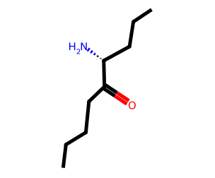 CCCCC(=O)[C@H](N)CCC